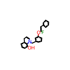 Oc1cccc2c1N(Cc1cccc(OC(F)=Cc3ccccc3)c1)C=CC2